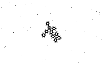 c1ccc(-c2ccc(-c3nc(-c4ccccc4)nc(-c4ccccc4-c4cccc(-c5ccc6c(c5)C5(c7ccccc7-c7ccccc75)c5ccccc5-6)c4)n3)cc2)cc1